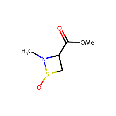 COC(=O)C1C[S+]([O-])N1C